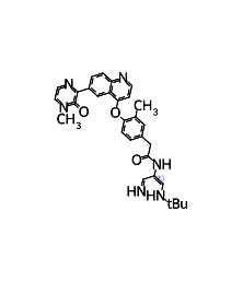 Cc1cc(CC(=O)N/C(C=N)=C/NC(C)(C)C)ccc1Oc1ccnc2ccc(-c3nccn(C)c3=O)cc12